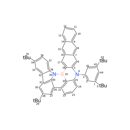 CC(C)(C)c1cc(N2c3cc4cc5ccccc5cc4cc3B3c4c(cccc42)-c2cc(C(C)(C)C)cc4c5cc(C(C)(C)C)ccc5n3c24)cc(C(C)(C)C)c1